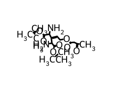 CC(=O)CC(=O)OCC=C(C(N)C(=O)OC(C)(C)C)C(N)C(=O)OC(C)(C)C